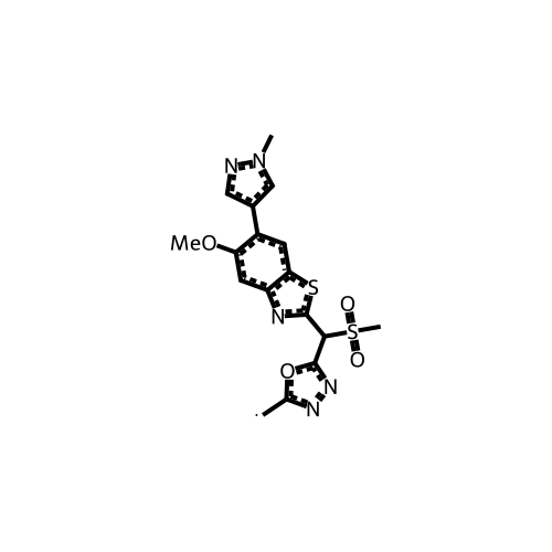 [CH2]c1nnc(C(c2nc3cc(OC)c(-c4cnn(C)c4)cc3s2)S(C)(=O)=O)o1